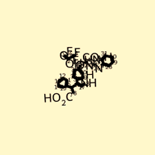 O=C(O)C(F)(F)F.O=C(O)CC(c1ccccc1)c1c[nH]c2cc(OC(Nc3nc4ccccc4[nH]3)C(=O)O)ccc12